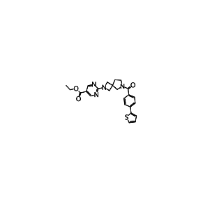 CCOC(=O)c1cnc(N2CC3(CCN(C(=O)c4ccc(-c5cccs5)cc4)C3)C2)nc1